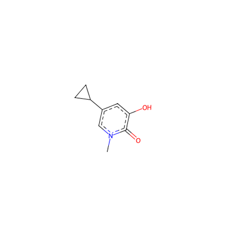 Cn1cc(C2CC2)cc(O)c1=O